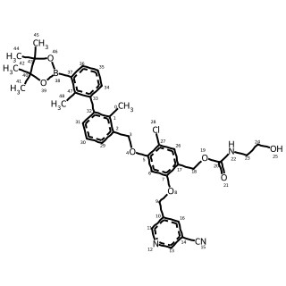 Cc1c(COc2cc(OCc3cncc(C#N)c3)c(COC(=O)NCCO)cc2Cl)cccc1-c1cccc(B2OC(C)(C)C(C)(C)O2)c1C